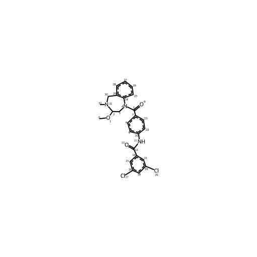 COC1CN(C(=O)c2ccc(NC(=O)c3cc(Cl)cc(Cl)c3)cc2)c2ccccc2CN1C